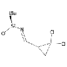 CC(C)(C)[S@+]([O-])/N=C/C1CC1(Cl)Cl